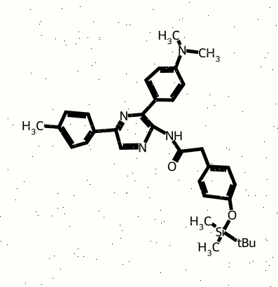 Cc1ccc(-c2cnc(NC(=O)Cc3ccc(O[Si](C)(C)C(C)(C)C)cc3)c(-c3ccc(N(C)C)cc3)n2)cc1